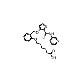 O=C(O)CCCCCOc1ccccc1COc1ccsc1C(=O)Nc1cccnc1